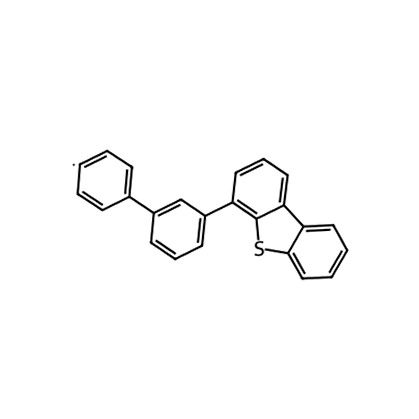 [c]1ccc(-c2cccc(-c3cccc4c3sc3ccccc34)c2)cc1